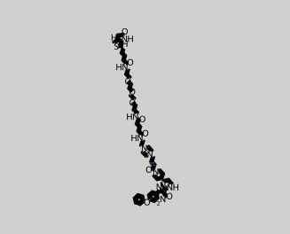 NC(=O)c1c(-c2ccc(Oc3ccccc3)cc2)nn2c1NCC[C@H]2C1CCN(C(=O)/C=C/CN2CCN(CCNC(=O)CCCC(=O)NCCCOCCOCCOCCCNC(=O)CCCC[C@H]3SC[C@H]4CC(=O)N[C@H]43)CC2)CC1